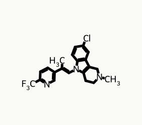 CC(=Cn1c2c(c3cc(Cl)ccc31)CN(C)CC2)c1ccc(C(F)(F)F)nc1